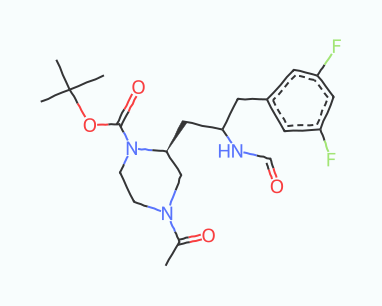 CC(=O)N1CCN(C(=O)OC(C)(C)C)[C@@H](CC(Cc2cc(F)cc(F)c2)NC=O)C1